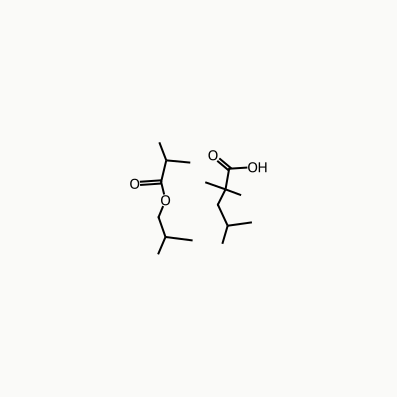 CC(C)CC(C)(C)C(=O)O.CC(C)COC(=O)C(C)C